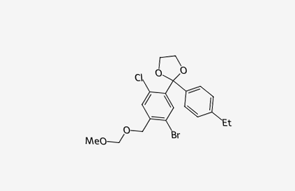 CCc1ccc(C2(c3cc(Br)c(COCOC)cc3Cl)OCCO2)cc1